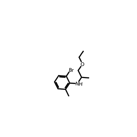 CCOCC(C)Nc1c(C)cccc1Br